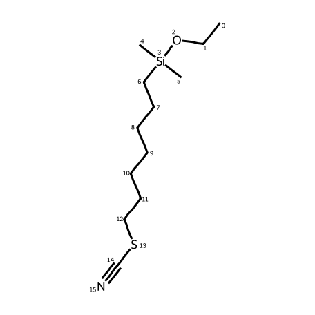 CCO[Si](C)(C)CCCCCCCSC#N